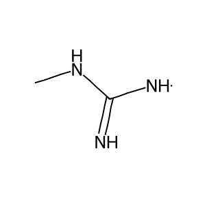 CNC([NH])=N